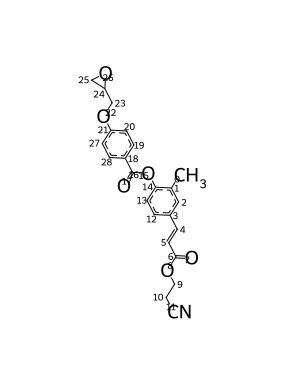 Cc1cc(/C=C/C(=O)OCCC#N)ccc1OC(=O)c1ccc(OCC2CO2)cc1